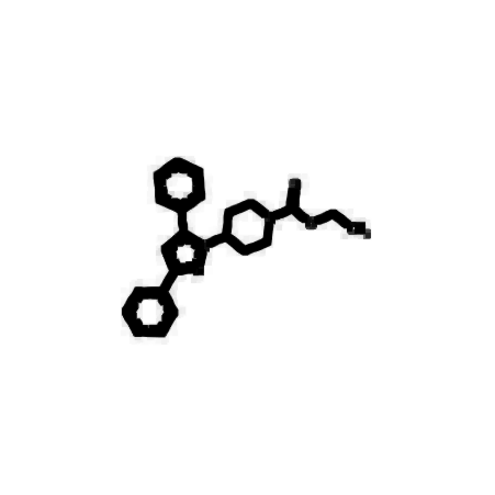 CCOC(=O)N1CCC(n2nc(-c3ccccc3)cc2-c2ccccc2)CC1